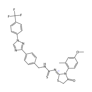 COc1ccc(N2C(=O)CS/C2=N\C(=S)NCc2ccc(-c3ncn(-c4ccc(C(F)(F)F)cc4)n3)cc2)c(C)c1